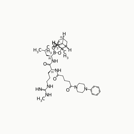 CNC(=N)NCCC[C@H](NC(=O)CCCC(=O)N1CCN(c2ccccc2)CC1)C(=O)N[C@@H](CC(C)C)B1O[C@@H]2C[C@@H]3C[C@@H](C3(C)C)[C@]2(C)O1